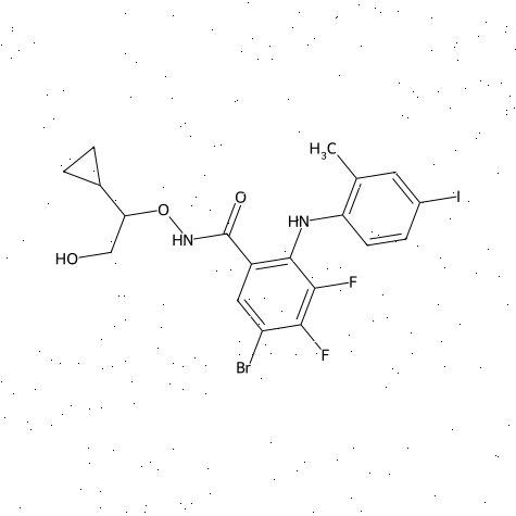 Cc1cc(I)ccc1Nc1c(C(=O)NOC(CO)C2CC2)cc(Br)c(F)c1F